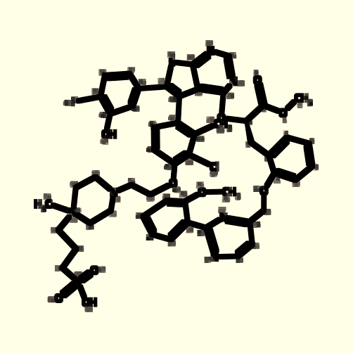 COC(=O)[C@@H](Cc1ccccc1OCc1ccnc(-c2ccccc2OC)n1)Oc1ncnc2sc(-c3ccc(F)c(O)c3)c(-c3ccc(OCCN4CC[N+](C)(CCCS(=O)(=O)O)CC4)c(Cl)c3C)c12